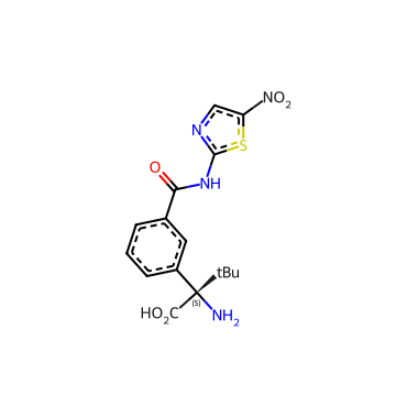 CC(C)(C)[C@@](N)(C(=O)O)c1cccc(C(=O)Nc2ncc([N+](=O)[O-])s2)c1